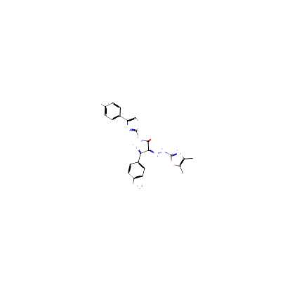 COc1ccc(C2=NN(c3nc(-c4ccc(F)cc4)cs3)C(=O)/C2=N\Nc2nc(C)c(C)s2)cc1